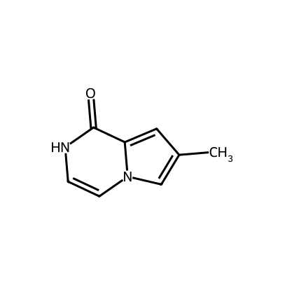 Cc1cc2c(=O)[nH]ccn2c1